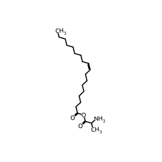 CCCCCCCC/C=C\CCCCCCCC(=O)OC(=O)C(C)N